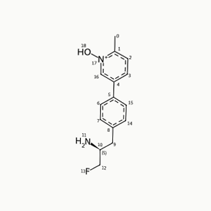 Cc1ccc(-c2ccc(C[C@H](N)CF)cc2)c[n+]1O